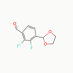 O=Cc1ccc(C2OCCO2)c(F)c1F